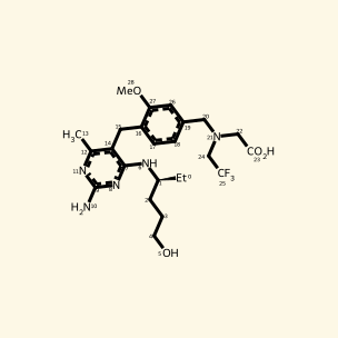 CC[C@@H](CCCO)Nc1nc(N)nc(C)c1Cc1ccc(CN(CC(=O)O)CC(F)(F)F)cc1OC